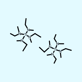 CC[N](C)[Ti]([N](C)CC)([N](C)CC)[N](C)CC.CC[N](C)[Ti]([N](C)CC)([N](C)CC)[N](C)CC